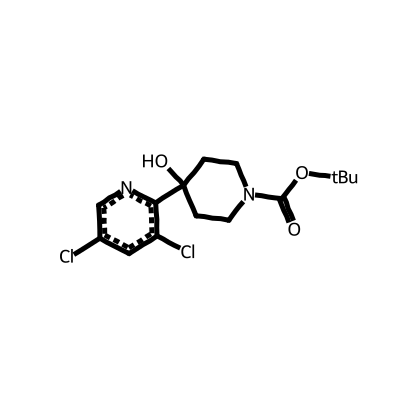 CC(C)(C)OC(=O)N1CCC(O)(c2ncc(Cl)cc2Cl)CC1